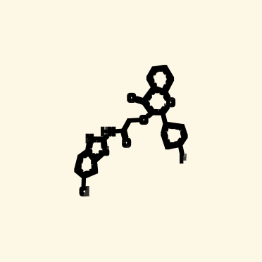 O=C(COc1c(-c2ccc(F)cc2)oc2ccccc2c1=O)Nc1nc2ccc(Cl)cc2s1